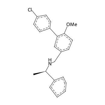 COc1ccc(CN[C@H](C)c2ccccc2)cc1-c1ccc(Cl)cc1